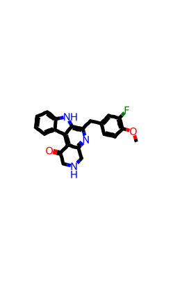 COc1ccc(Cc2nc3c(c4c2[nH]c2ccccc24)C(=O)CNC3)cc1F